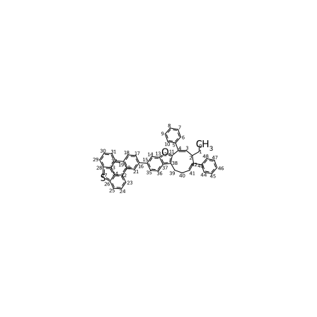 CCC1/C=C(/c2ccccc2)c2oc3cc(-c4ccc5c(c4)c4cccc6sc7cccc5c7c64)ccc3c2CC/C=C\1c1ccccc1